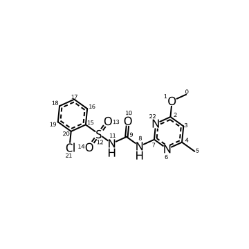 COc1cc(C)nc(NC(=O)NS(=O)(=O)c2ccccc2Cl)n1